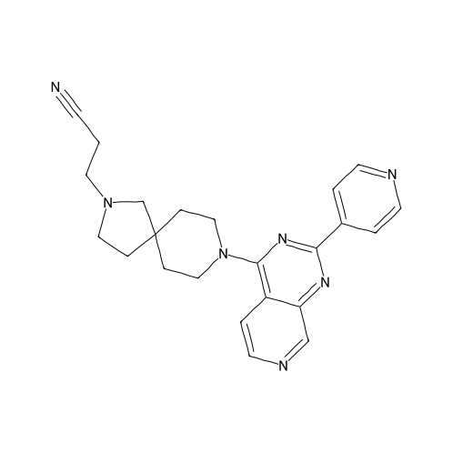 N#CCCN1CCC2(CCN(c3nc(-c4ccncc4)nc4cnccc34)CC2)C1